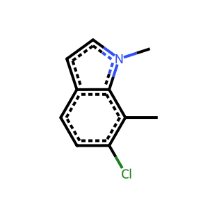 Cc1c(Cl)ccc2ccn(C)c12